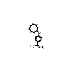 CC(C)c1ccc(OC2CCCCCCC2)cc1